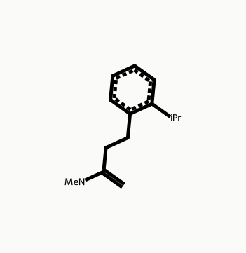 C=C(CCc1ccccc1C(C)C)NC